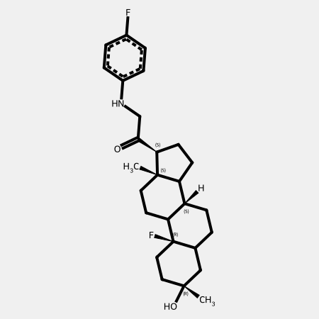 C[C@@]1(O)CC[C@@]2(F)C(CC[C@@H]3C2CC[C@@]2(C)C3CC[C@@H]2C(=O)CNc2ccc(F)cc2)C1